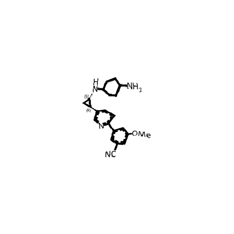 COc1cc(C#N)cc(-c2ccc([C@H]3C[C@@H]3NC3CCC(N)CC3)cn2)c1